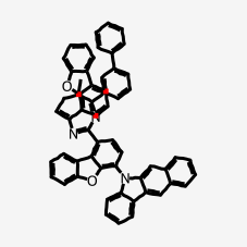 CC1C/C=C(c2cccc3c2oc2ccccc23)/N=C(c2ccc(-n3c4ccccc4c4cc5ccccc5cc43)c3oc4ccccc4c23)\N=C/1c1cccc(-c2ccccc2)c1